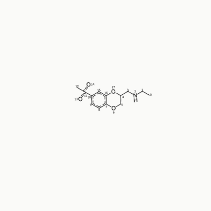 CCNCC1COc2ccc(S(C)(=O)=O)cc2O1